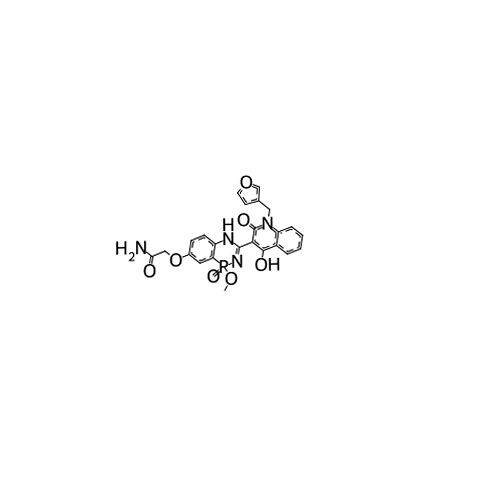 COP1(=O)N=C(c2c(O)c3ccccc3n(Cc3ccoc3)c2=O)Nc2ccc(OCC(N)=O)cc21